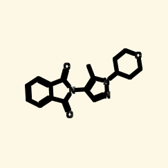 Cc1c(N2C(=O)c3ccccc3C2=O)cnn1C1CCOCC1